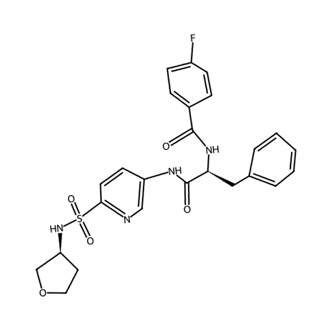 O=C(N[C@@H](Cc1ccccc1)C(=O)Nc1ccc(S(=O)(=O)N[C@H]2CCOC2)nc1)c1ccc(F)cc1